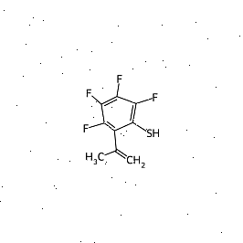 C=C(C)c1c(F)c(F)c(F)c(F)c1S